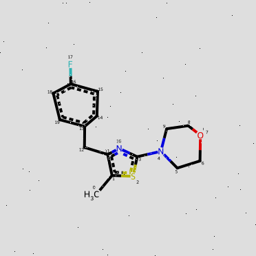 Cc1sc(N2CCOCC2)nc1Cc1ccc(F)cc1